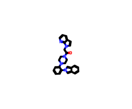 O=C(Cn1ccc2cccnc21)N1CCN(c2ccccc2-n2cc3ccccc3c2)CC1